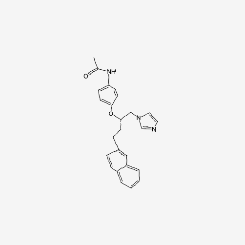 CC(=O)Nc1ccc(OC(CCc2ccc3ccccc3c2)Cn2ccnc2)cc1